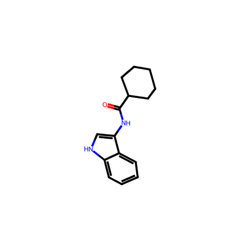 O=C(Nc1c[nH]c2ccccc12)C1CCCCC1